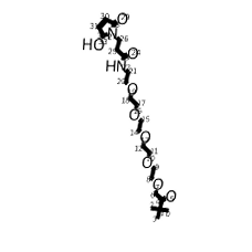 CC(C)(C)C(=O)COCCOCCOCCOCCOCCNC(=O)CCN1C(=O)C=CC1O